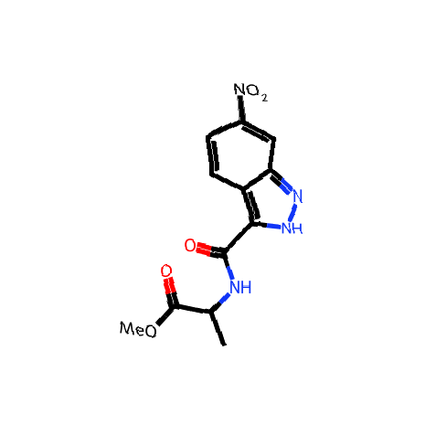 COC(=O)C(C)NC(=O)c1[nH]nc2cc([N+](=O)[O-])ccc12